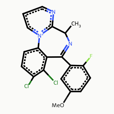 COc1ccc(F)c(C2=NC(C)c3nccc[n+]3-c3ccc(Cl)c(Cl)c32)c1